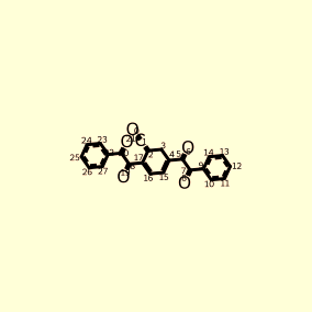 O=C=C1CC(C(=O)C(=O)c2ccccc2)=CC=C1C(=O)C(=O)c1ccccc1